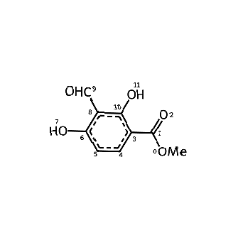 COC(=O)c1ccc(O)c(C=O)c1O